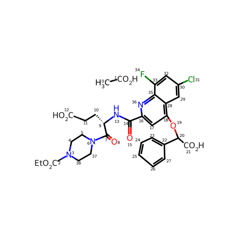 CC(=O)O.CCOC(=O)N1CCN(C(=O)[C@H](CCC(=O)O)NC(=O)c2cc(OC(C(=O)O)c3ccccc3)c3cc(Cl)cc(F)c3n2)CC1